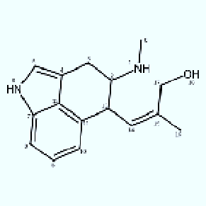 CNC1Cc2c[nH]c3cccc(c23)C1C=C(C)CO